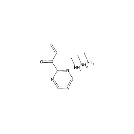 C=CC(=O)c1ncncn1.CN.CN.CN